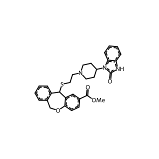 COC(=O)c1ccc2c(c1)C(SCCN1CCC(n3c(=O)[nH]c4ccccc43)CC1)c1ccccc1CO2